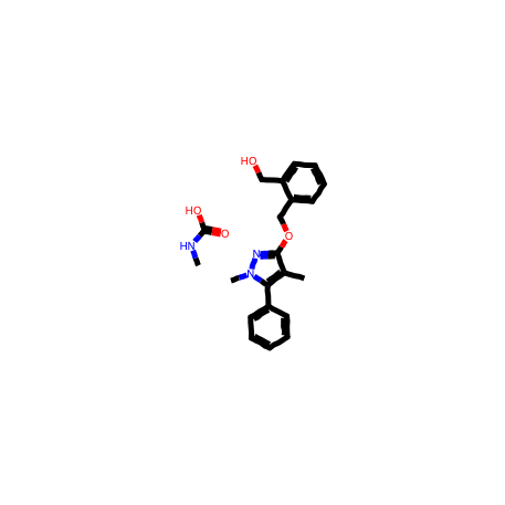 CNC(=O)O.Cc1c(OCc2ccccc2CO)nn(C)c1-c1ccccc1